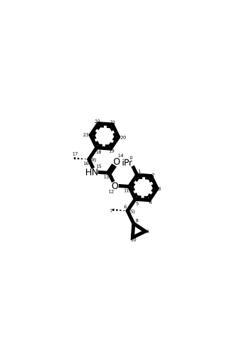 CC(C)c1cccc([C@@H](C)C2CC2)c1OC(=O)N[C@H](C)c1ccccc1